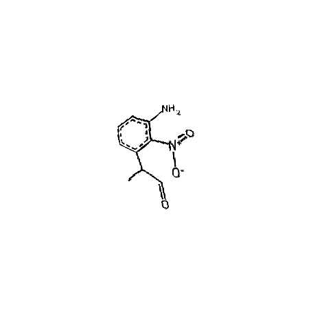 CC(C=O)c1cccc(N)c1[N+](=O)[O-]